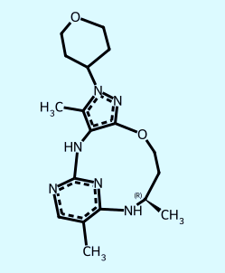 Cc1cnc2nc1N[C@H](C)CCOc1nn(C3CCOCC3)c(C)c1N2